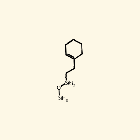 [SiH3]O[SiH2]CCC1=CCCCC1